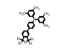 CCC1(CC)OC(CC)(CC)c2cc(-c3ccc(N(c4cc(C)cc(C)c4)c4cc(C)cc(C)c4)cc3)ccc21